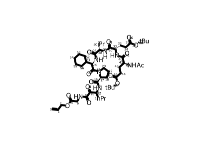 C=CCOC(=O)CNC(=O)C(=O)C(CCC)NC(=O)[C@@H]1CCCN1C(=O)[C@@H](NC(=O)[C@@H](NC(=O)[C@H](CCC(=O)OC(C)(C)C)NC(=O)[C@H](CCC(=O)OC(C)(C)C)NC(C)=O)C(C)C)C1CCCCC1